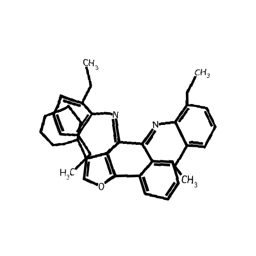 CCc1cccc(CC)c1/N=C1/C(=N/c2c(CC)cccc2CC)c2c(C3CCCCC3)coc2-c2ccccc21